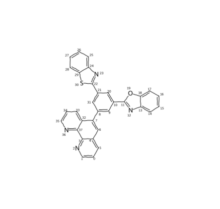 c1cnc2c(c1)cc(-c1cc(-c3nc4ccccc4o3)cc(-c3nc4ccccc4s3)c1)c1cccnc12